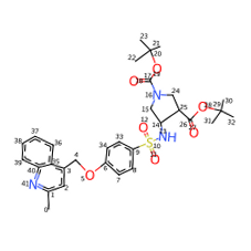 Cc1cc(COc2ccc(S(=O)(=O)NC3CN(C(=O)OC(C)(C)C)CC3C(=O)OC(C)(C)C)cc2)c2ccccc2n1